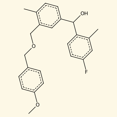 COc1ccc(COCc2cc(C(O)c3ccc(F)cc3C)ccc2C)cc1